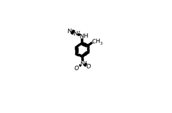 Cc1cc([N+](=O)[O-])ccc1N[N+]#N